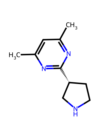 Cc1cc(C)nc([C@@H]2CCNC2)n1